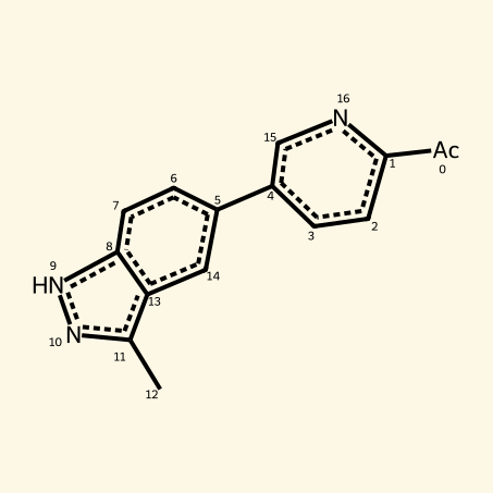 CC(=O)c1ccc(-c2ccc3[nH]nc(C)c3c2)cn1